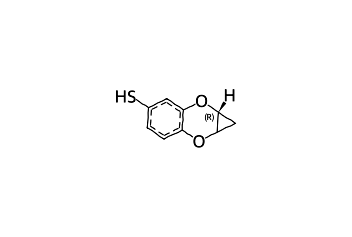 Sc1ccc2c(c1)O[C@@H]1CC1O2